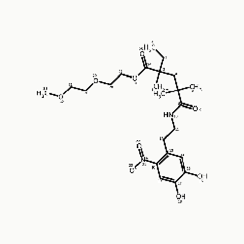 CCC(C)(CC(C)(C)C(=O)NCCc1cc(O)c(O)cc1[N+](=O)[O-])C(=O)OCCOCCOC